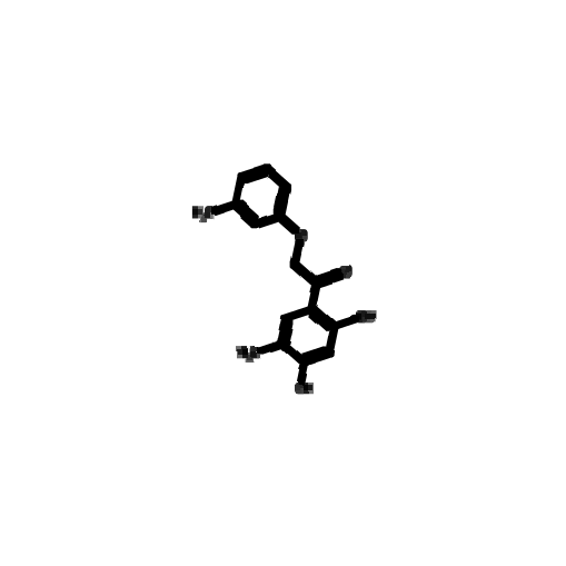 Cc1cccc(OCC(=O)c2cc(C)c(O)cc2O)c1